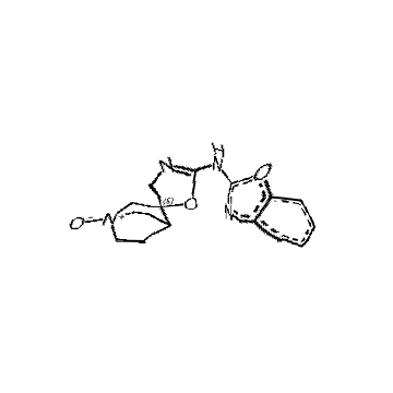 [O-][N+]12CCC(CC1)[C@]1(CN=C(Nc3nc4ccccc4o3)O1)C2